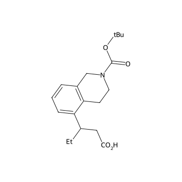 CCC(CC(=O)O)c1cccc2c1CCN(C(=O)OC(C)(C)C)C2